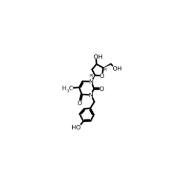 Cc1cn([C@H]2CC(O)[C@@H](CO)O2)c(=O)n(Cc2ccc(O)cc2)c1=O